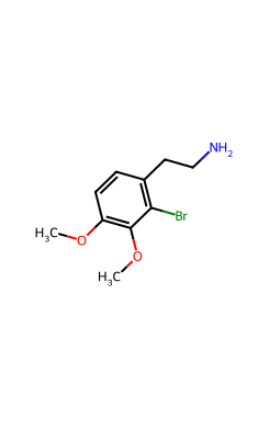 COc1ccc(CCN)c(Br)c1OC